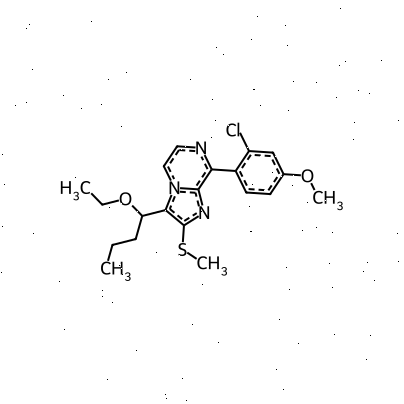 CCCC(OCC)c1c(SC)nc2c(-c3ccc(OC)cc3Cl)nccn12